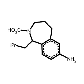 CC(C)CC1c2ccc(N)cc2CCCN1C(=O)O